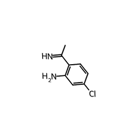 CC(=N)c1ccc(Cl)cc1N